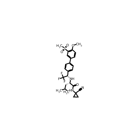 COc1ccc(-c2ccc([C@H](N[C@@H](CC(C)C)C(=O)NC3(C#N)CC3)C(F)(F)F)cc2)cc1S(C)(=O)=O